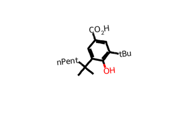 CCCCCC(C)(C)c1cc(C(=O)O)cc(C(C)(C)C)c1O